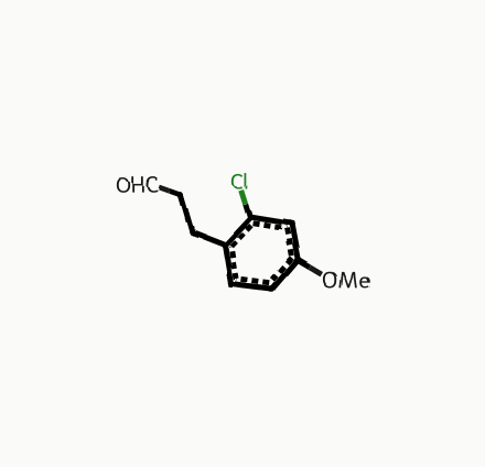 COc1ccc(CCC=O)c(Cl)c1